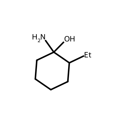 CCC1CCCCC1(N)O